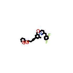 Cc1cc(C#CCCOC2CCCCO2)cc(C)c1N1CC(Cc2ccc(F)cc2F)CCC1=O